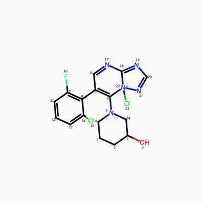 OC1CCCN(C2=C(c3c(F)cccc3Cl)C=NC3=NC=N[N+]32Cl)C1